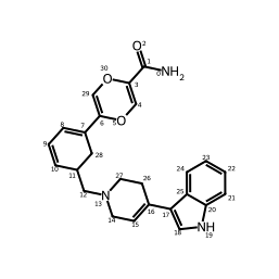 NC(=O)C1=COC(C2=CC=CC(CN3CC=C(c4c[nH]c5ccccc45)CC3)C2)=CO1